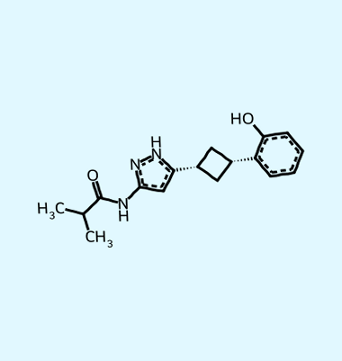 CC(C)C(=O)Nc1cc([C@H]2C[C@@H](c3ccccc3O)C2)[nH]n1